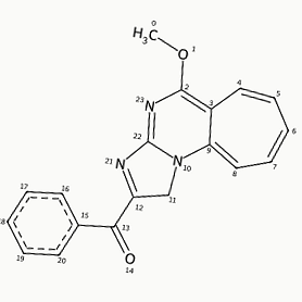 COC1=C2C=CC=CC=C2N2CC(C(=O)c3ccccc3)=NC2=N1